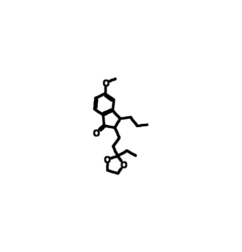 CCCC1c2cc(OC)ccc2C(=O)C1CCC1(CC)OCCO1